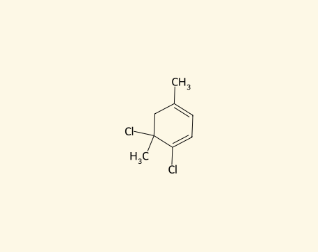 CC1=CC=C(Cl)C(C)(Cl)C1